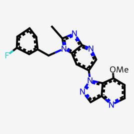 COc1ccnc2cnn(-c3cnc4nc(C)n(Cc5cccc(F)c5)c4c3)c12